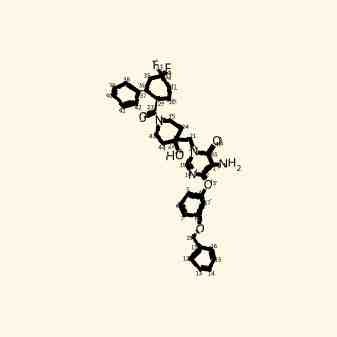 Nc1c(Oc2cccc(OCc3ccccc3)c2)ncn(CC2(O)CCN(C(=O)[C@@H]3CCC(F)(F)C[C@H]3c3ccccc3)CC2)c1=O